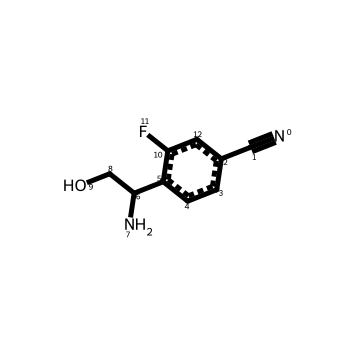 N#Cc1ccc(C(N)CO)c(F)c1